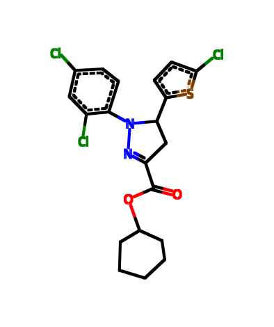 O=C(OC1CCCCC1)C1=NN(c2ccc(Cl)cc2Cl)C(c2ccc(Cl)s2)C1